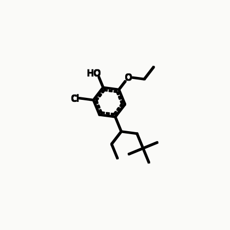 CCOc1cc(C(CC)CC(C)(C)C)cc(Cl)c1O